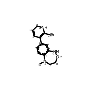 CCC(C)C1=C(c2ccc3c(c2)NOCCN3C)C=CCN1